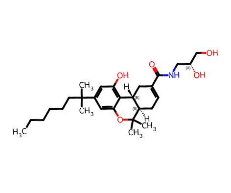 CCCCCCC(C)(C)c1cc(O)c2c(c1)OC(C)(C)[C@@H]1CC=C(C(=O)NC[C@@H](O)CO)C[C@@H]21